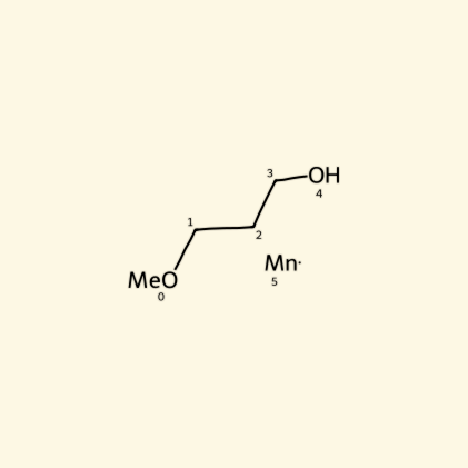 COCCCO.[Mn]